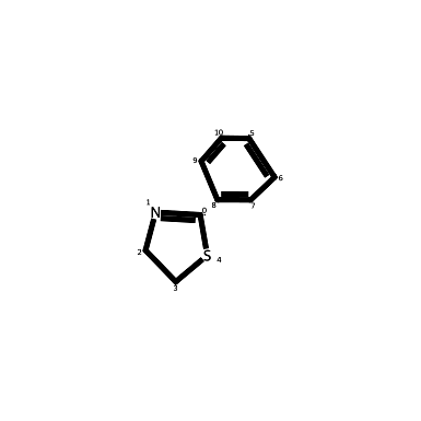 [C]1=NCCS1.[c]1ccccc1